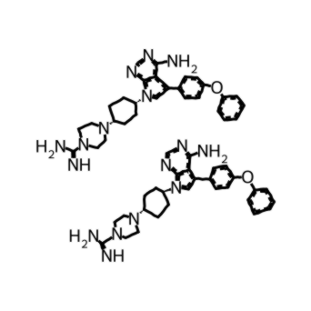 N=C(N)N1CCN([C@H]2CC[C@@H](n3cc(-c4ccc(Oc5ccccc5)cc4)c4c(N)ncnc43)CC2)CC1.N=C(N)N1CCN([C@H]2CC[C@H](n3cc(-c4ccc(Oc5ccccc5)cc4)c4c(N)ncnc43)CC2)CC1